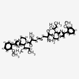 CCC(C)[C@H]1c2nc(-c3ccccc3OC)cn2CCN1C(=O)[C@@H](N)CSSC[C@H](N)C(=O)N1CCn2cc(-c3ccccc3OC)nc2[C@@H]1C(C)CC